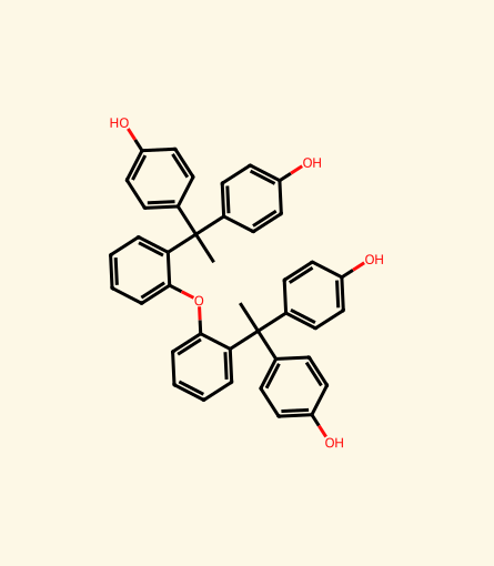 CC(c1ccc(O)cc1)(c1ccc(O)cc1)c1ccccc1Oc1ccccc1C(C)(c1ccc(O)cc1)c1ccc(O)cc1